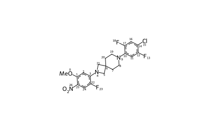 COc1cc(N2CC3(CCN(c4cc(F)c(Cl)cc4F)CC3)C2)c(F)cc1[N+](=O)[O-]